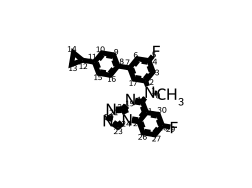 CN(c1cc(F)cc(-c2ccc(C3CC3)cc2)c1)c1nc2nncn2c2ccc(F)cc12